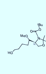 COC(CCCCO)[C@@H]1COC(C)(C)N1C(=O)OC(C)(C)C